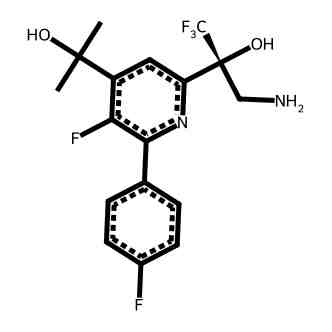 CC(C)(O)c1cc([C@](O)(CN)C(F)(F)F)nc(-c2ccc(F)cc2)c1F